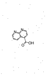 O=C(O)c1ccnc2ncccc12